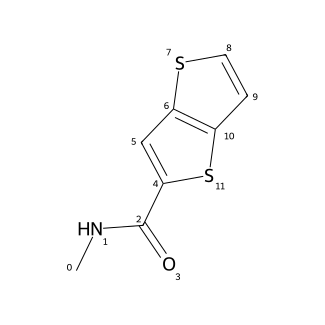 CNC(=O)c1cc2sccc2s1